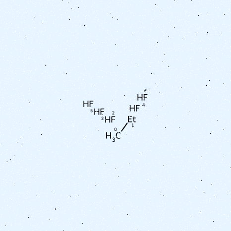 CCC.F.F.F.F.F